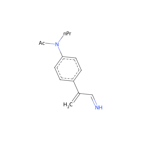 C=C(C=N)c1ccc(N(CCC)C(C)=O)cc1